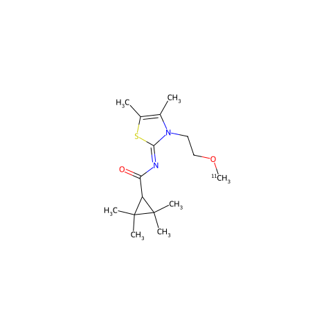 Cc1s/c(=N\C(=O)C2C(C)(C)C2(C)C)n(CCO[11CH3])c1C